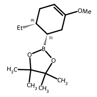 CC[C@@H]1CC=C(OC)C[C@@H]1B1OC(C)(C)C(C)(C)O1